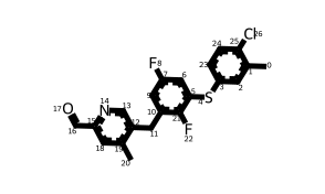 Cc1cc(Sc2cc(F)cc(Cc3cnc(C=O)cc3C)c2F)ccc1Cl